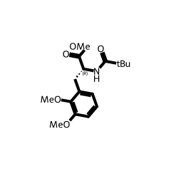 COC(=O)[C@@H](Cc1cccc(OC)c1OC)NC(=O)C(C)(C)C